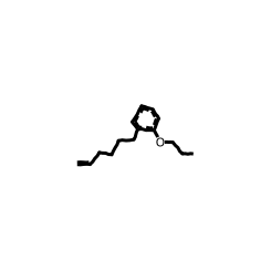 C=CCCCCc1ccccc1OCCC